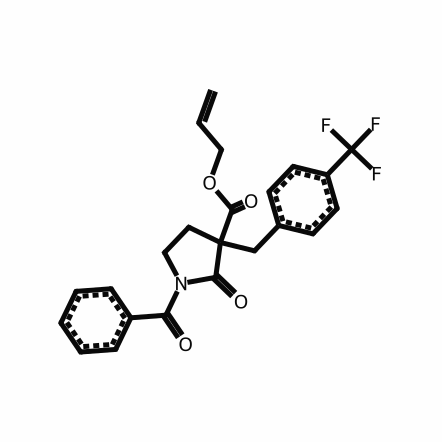 C=CCOC(=O)C1(Cc2ccc(C(F)(F)F)cc2)CCN(C(=O)c2ccccc2)C1=O